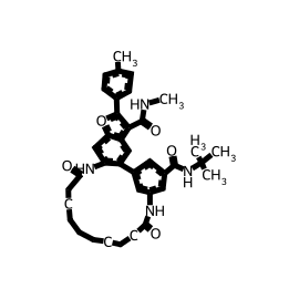 CNC(=O)c1c(-c2ccc(C)cc2)oc2cc3c(cc12)-c1cc(cc(C(=O)NC(C)(C)C)c1)NC(=O)CCCCCCCCC(=O)N3